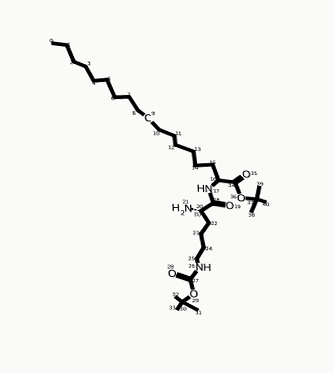 CCCCCCCCCCCCCCCCC(NC(=O)[C@@H](N)CCCCNC(=O)OC(C)(C)C)C(=O)OC(C)(C)C